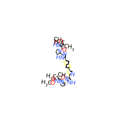 COC(=O)N[C@H](C(=O)N1CCCC1c1ncc(-c2cc3sc(-c4cnc(-c5c[nH]c([C@@H]6CCCN6C(=O)[C@@H](NC(=O)OC)C(C)C)n5)s4)cc3s2)[nH]1)C(C)C